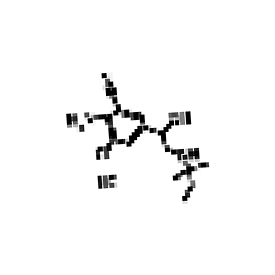 CCC(C)(C)NCC(O)c1cc(Cl)c(N)c(C#N)c1.Cl